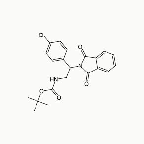 CC(C)(C)OC(=O)NCC(c1ccc(Cl)cc1)N1C(=O)c2ccccc2C1=O